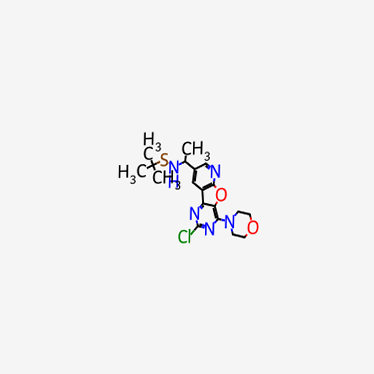 CC(NSC(C)(C)C)c1cnc2oc3c(N4CCOCC4)nc(Cl)nc3c2c1